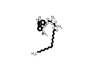 CCCCCCCC/C=C\CCCCCCCC(=O)O[C@@H](C)C(=O)O[C@@H](C)C(=O)OC1=CC[C@]2(O)[C@H]3CCC[C@]24c2c(ccc(OC)c2O[C@H]14)C3